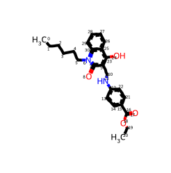 CCCCCCn1c(=O)c(CNc2ccc(C(=O)OCC)cc2)c(O)c2ccccc21